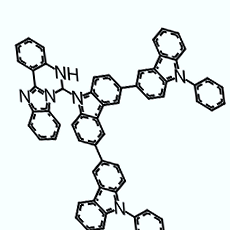 c1ccc(-n2c3ccccc3c3cc(-c4ccc5c(c4)c4cc(-c6ccc7c(c6)c6ccccc6n7-c6ccccc6)ccc4n5C4Nc5ccccc5-c5nc6ccccc6n54)ccc32)cc1